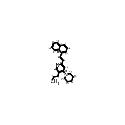 CCCc1cnc(C=Cc2cccc3ccccc23)cc1N1CCCCC1